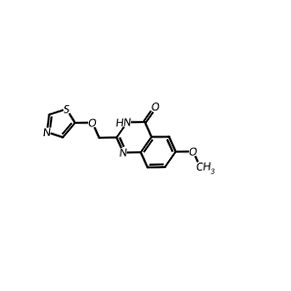 COc1ccc2nc(COc3cncs3)[nH]c(=O)c2c1